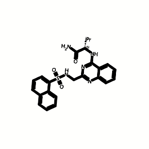 CC(C)[C@H](Nc1nc(CNS(=O)(=O)c2cccc3ccccc23)nc2ccccc12)C(N)=O